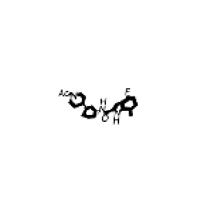 CC(=O)N1CCC([C@@H]2CCC[C@@H](NC(=O)c3cc4c(F)ccc(C)c4[nH]3)C2)CC1